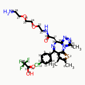 Cc1sc2c(c1C)C(c1ccc(Cl)cc1)=N[C@@H](CC(=O)NCCOCCOCCN)c1nnc(C)n1-2.O=C(O)C(F)(F)F